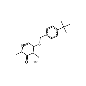 CN1N=CC(SCc2ccc(C(C)(C)C)cc2)C(C[18F])C1=O